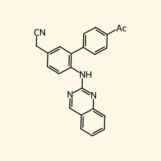 CC(=O)c1ccc(-c2cc(CC#N)ccc2Nc2ncc3ccccc3n2)cc1